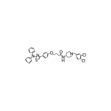 O=C(CCCOc1ccc(-c2csc(N(c3ccccc3)c3ccccc3)n2)cc1)NC1CCN(Cc2ccc(Cl)c(Cl)c2)CC1